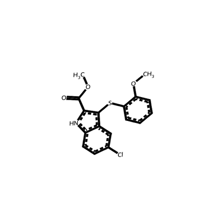 COC(=O)c1[nH]c2ccc(Cl)cc2c1Sc1ccccc1OC